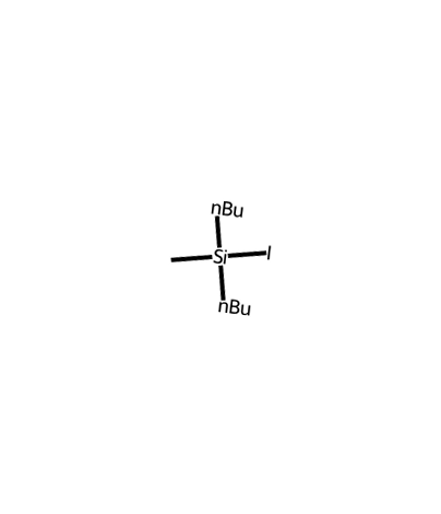 CCCC[Si](C)(I)CCCC